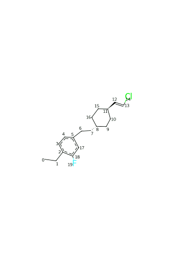 CCc1ccc(CC[C@H]2CC[C@H](/C=C/Cl)CC2)cc1F